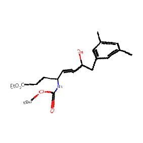 CCOC(=O)CCC(C=CC(O)Cc1cc(C)cc(C)c1)NC(=O)OC(C)(C)C